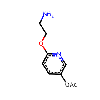 CC(=O)Oc1ccc(OCCN)nc1